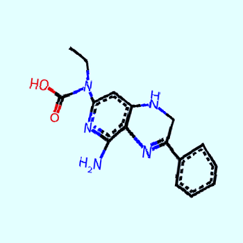 CCN(C(=O)O)c1cc2c(c(N)n1)N=C(c1ccccc1)CN2